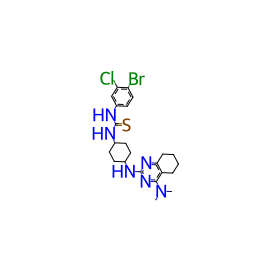 CN(C)c1nc(NC2CCC(NC(=S)Nc3ccc(Br)c(Cl)c3)CC2)nc2c1CCCC2